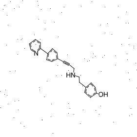 Oc1ccc(CCNCC#Cc2ccc(-c3ccccn3)cc2)cc1